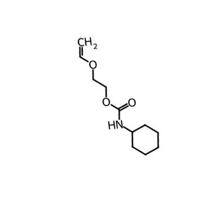 C=COCCOC(=O)NC1CCCCC1